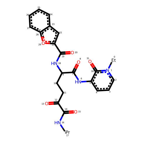 CCn1cccc(NC(=O)C(CCC(=O)C(=O)NC(C)C)NC(=O)c2cc3ccccc3o2)c1=O